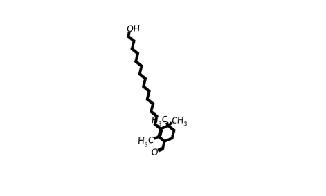 CC1=C(CCCCCCCCCCCCCCCO)C(C)(C)CCC1C=O